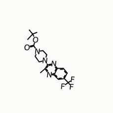 Cc1nc2cc(C(F)(F)F)ccc2nc1N1CCN(C(=O)OC(C)(C)C)CC1